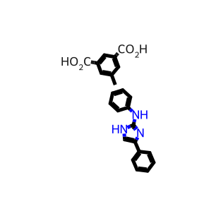 Cc1cc(C(=O)O)cc(C(=O)O)c1.c1ccc(Nc2nc(-c3ccccc3)c[nH]2)cc1